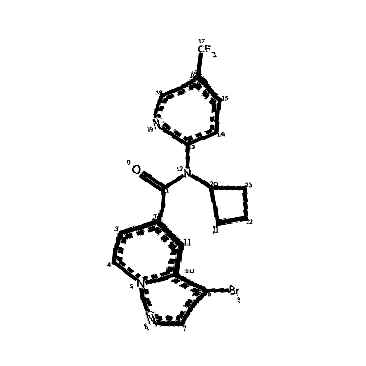 O=C(c1ccn2ncc(Br)c2c1)N(c1ccc(C(F)(F)F)cn1)C1CCC1